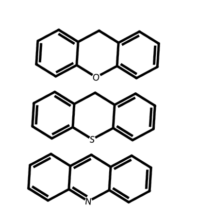 c1ccc2c(c1)Cc1ccccc1O2.c1ccc2c(c1)Cc1ccccc1S2.c1ccc2nc3ccccc3cc2c1